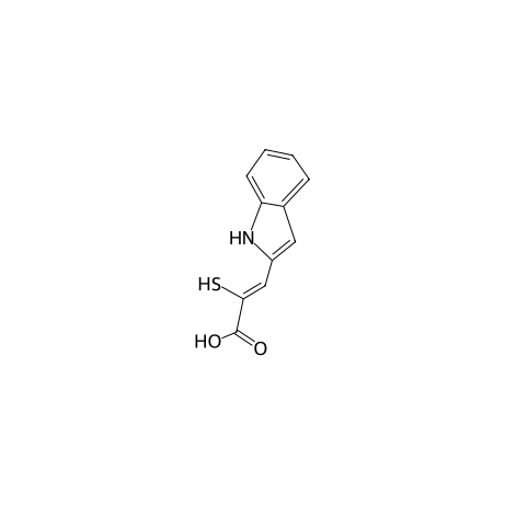 O=C(O)C(S)=Cc1cc2ccccc2[nH]1